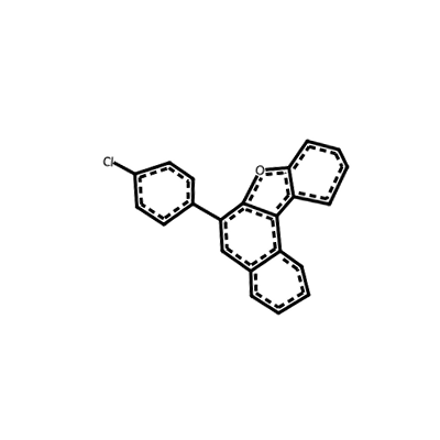 Clc1ccc(-c2cc3ccccc3c3c2oc2ccccc23)cc1